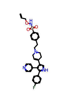 C=CCONS(=O)(=O)c1ccc(CCN2CC=C(c3c[nH]c(-c4ccc(F)cc4)c3-c3ccncc3)CC2)cc1